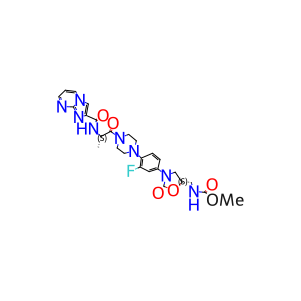 COC(=O)NC[C@H]1CN(c2ccc(N3CCN(C(=O)[C@H](C)NC(=O)c4cn5cccnc5n4)CC3)c(F)c2)C(=O)O1